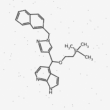 C[Si](C)(C)CCOC(c1cnn(Cc2ccc3ccccc3c2)c1)c1ccnc2[nH]ccc12